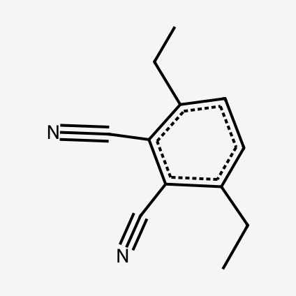 CCc1ccc(CC)c(C#N)c1C#N